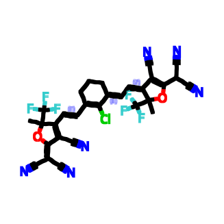 CC1(C(F)(F)F)OC(=C(C#N)C#N)C(C#N)=C1/C=C/C1=C(Cl)C(=C/C=C2/C(C#N)=C(C(C#N)C#N)OC2(C)C(F)(F)F)/CCC1